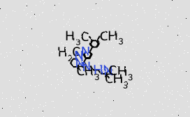 C=Nc1nc(-c2ccc(CC)c(CC)c2)ccc1/C(=N\CCCCC(C)NC)N1CCCCC1C